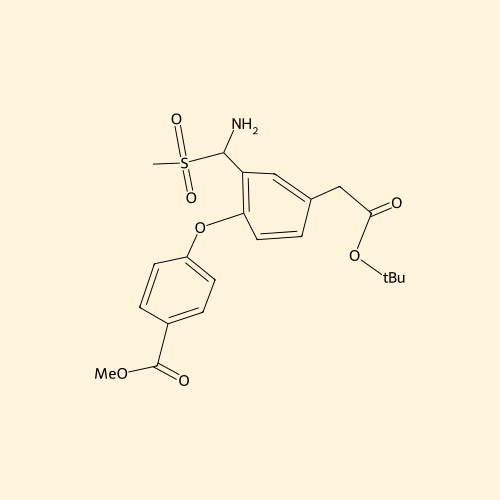 COC(=O)c1ccc(Oc2ccc(CC(=O)OC(C)(C)C)cc2C(N)S(C)(=O)=O)cc1